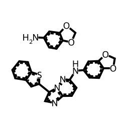 Nc1ccc2c(c1)OCO2.c1ccc2sc(-c3cnc4ccc(Nc5ccc6c(c5)OCO6)nn34)cc2c1